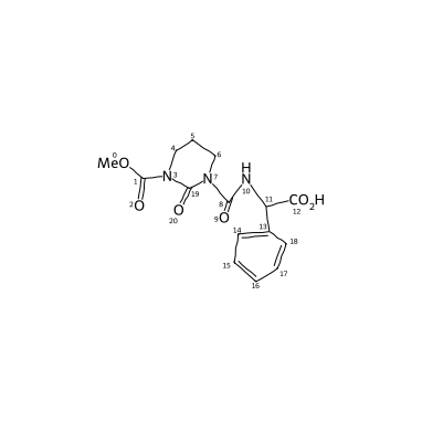 COC(=O)N1CCCN(C(=O)NC(C(=O)O)c2ccccc2)C1=O